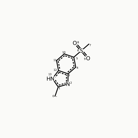 [CH2]c1nc2cc(S(C)(=O)=O)ccc2[nH]1